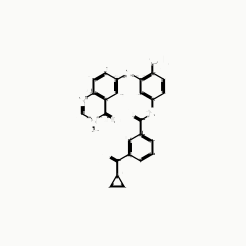 C=C(c1cccc(C(=O)Nc2ccc(C)c(Nc3ccc4ncn(C)c(=O)c4c3)c2)c1)C1CC1